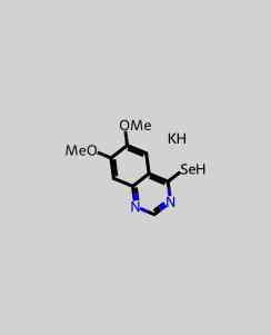 COc1cc2ncnc([SeH])c2cc1OC.[KH]